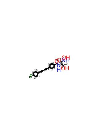 C[C@@H](O)[C@H](NC(=O)c1ccc(C#CC#Cc2ccc(F)cc2)cc1)C(=O)NO